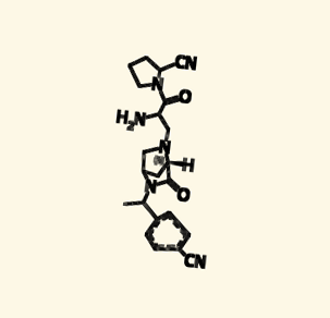 CC(c1ccc(C#N)cc1)N1C(=O)[C@@H]2CC1CN2CC(N)C(=O)N1CCCC1C#N